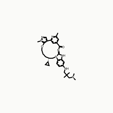 Cc1cc2cc(n1)-c1cnn(C)c1OCCC[C@@H](C1CC1)CN1/C(=N/C2=O)Nc2cc(NCC(C)(C)CN(C)C)ccc21